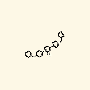 [Cl-].[Cl-].c1ccc(C[n+]2ccc(-c3cc[n+](-c4ccc(Oc5ccccc5)cc4)cc3)cc2)cc1